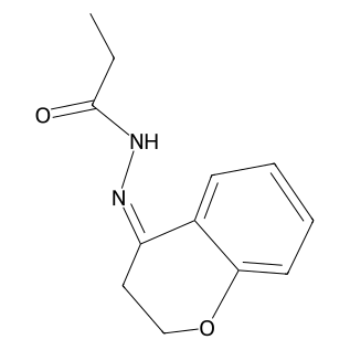 CCC(=O)N/N=C1/CCOc2ccccc21